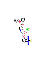 COc1ccccc1OCC1CCN(CC(O)COc2cccc3[nH]c(=S)[nH]c23)CC1.Cl